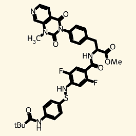 COC(=O)C(Cc1ccc(-n2c(=O)c3ccncc3n(C)c2=O)cc1)NC(=O)c1cc(F)c(NSc2ccc(NC(=O)C(C)(C)C)cc2)cc1F